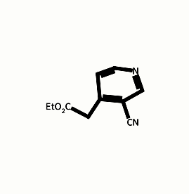 CCOC(=O)Cc1ccncc1C#N